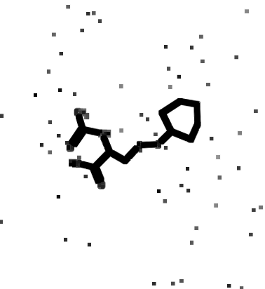 CC(=O)NC(CSSC1CCCCC1)C(=O)O